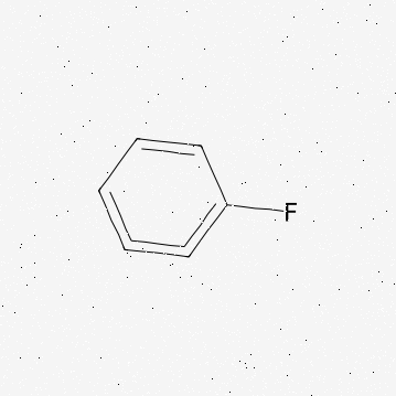 FC1=C=C=CC=C1